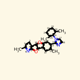 Cc1ccc2c(n1)oc1c3cc(C)c(-c4nccn4-c4c(C)cccc4C)cc3oc21